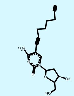 C#CCCCCC#Cc1cn(C2C[C@@H](O)C(CO)O2)c(=O)nc1N